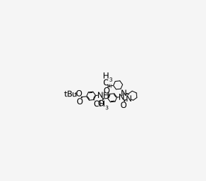 Cc1cc(C(=O)OC(C)(C)C)ccc1NC(=O)c1ccc(-n2nc3n(c2=O)CCCC3)cc1O[C@@H](C)C1CCCCC1